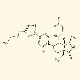 CCOCc1nnc(-c2ccc([C@@H]3CC[C@@]4(CC)C(=O)N[C@H](C)[C@H]4[C@H]3c3ccc(Cl)cc3)c(Cl)c2)o1